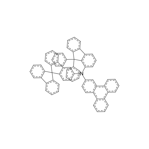 c1ccc(C2(c3ccccc3)c3ccccc3-c3cccc(N(c4ccc5c(c4)-c4ccccc4C54c5ccccc5-c5ccccc54)c4ccc5c6ccccc6c6ccccc6c5c4)c32)cc1